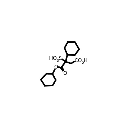 O=C(O)CC(C(=O)OC1CCCCC1)(C1CCCCC1)S(=O)(=O)O